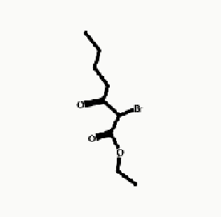 CCCCC(=O)C(Br)C(=O)OCC